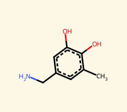 Cc1cc(CN)cc(O)c1O